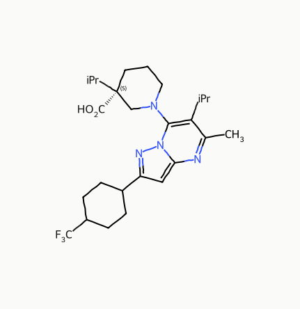 Cc1nc2cc(C3CCC(C(F)(F)F)CC3)nn2c(N2CCC[C@](C(=O)O)(C(C)C)C2)c1C(C)C